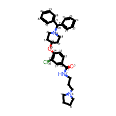 O=C(NCCCN1CCCC1)c1ccc(OC2CCN(C(c3ccccc3)c3ccccc3)CC2)c(Cl)c1